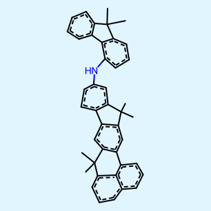 CC1(C)c2cc(Nc3cccc4c3-c3ccccc3C4(C)C)ccc2-c2cc3c(cc21)-c1cccc2cccc(c12)C3(C)C